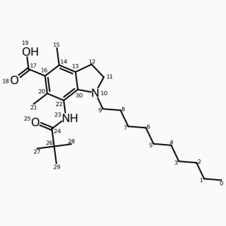 CCCCCCCCCCN1CCc2c(C)c(C(=O)O)c(C)c(NC(=O)C(C)(C)C)c21